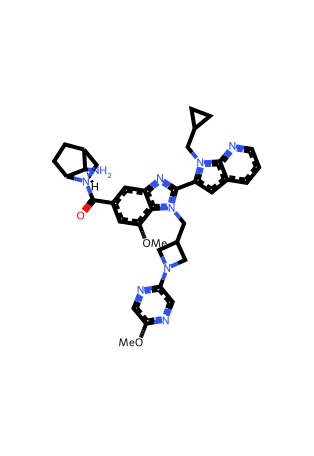 COc1cnc(N2CC(Cn3c(-c4cc5cccnc5n4CC4CC4)nc4cc(C(=O)N5CC6CCC5[C@@H]6N)cc(OC)c43)C2)cn1